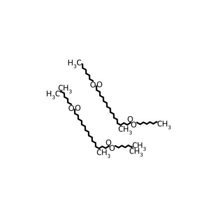 CC(C)CCCCCOC(=O)CCCCCCCCCCCCCC(C)CCC(=O)OCCCCCC(C)C.CCCCCCCCOC(=O)CCCCCCCCCCCCCC(C)CCC(=O)OCCCCCCCC